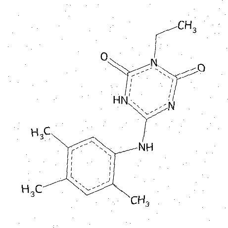 CCn1c(=O)nc(Nc2cc(C)c(C)cc2C)[nH]c1=O